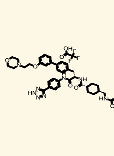 O=C(O)C(F)(F)F.O=C(O)NC[C@H]1CC[C@H](C(=O)N[C@@H](Cc2ccc(-c3cccc(OCCN4CCOCC4)c3)cc2)C(=O)Nc2ccc(-c3nn[nH]n3)cc2)CC1